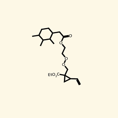 C=CC1CC1(COOCCOC(=O)CC1CCC(C)C(C)C1C)C(=O)OCC